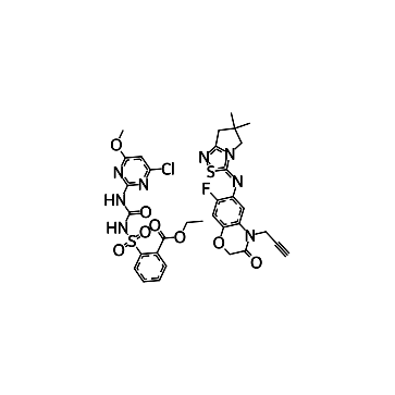 C#CCN1C(=O)COc2cc(F)c(/N=c3\snc4n3CC(C)(C)C4)cc21.CCOC(=O)c1ccccc1S(=O)(=O)NC(=O)Nc1nc(Cl)cc(OC)n1